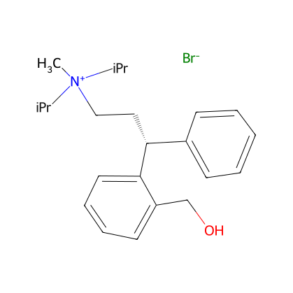 CC(C)[N+](C)(CC[C@H](c1ccccc1)c1ccccc1CO)C(C)C.[Br-]